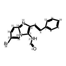 O=CNc1c(C=Cc2ccccc2)nc2ccc(Br)cn12